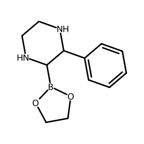 c1ccc(C2NCCNC2B2OCCO2)cc1